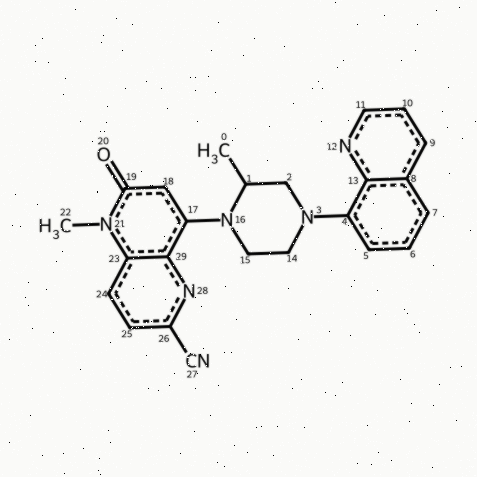 CC1CN(c2cccc3cccnc23)CCN1c1cc(=O)n(C)c2ccc(C#N)nc12